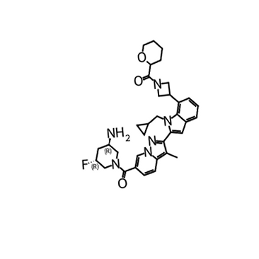 Cc1c(-c2cc3cccc(C4CN(C(=O)C5CCCCO5)C4)c3n2CC2CC2)nn2cc(C(=O)N3C[C@H](N)C[C@@H](F)C3)ccc12